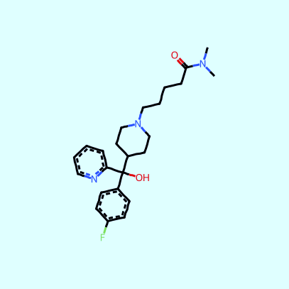 CN(C)C(=O)CCCCN1CCC(C(O)(c2ccc(F)cc2)c2ccccn2)CC1